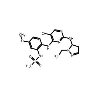 CCN1N=CCC1Nc1ncc(Cl)c(Nc2ccc(OC)cc2NS(C)(=O)=O)n1